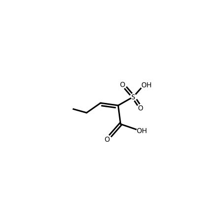 CC/C=C(\C(=O)O)S(=O)(=O)O